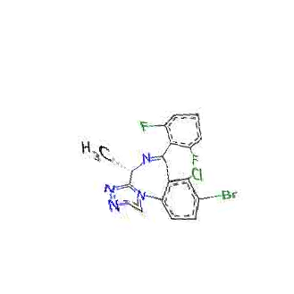 C[C@@H]1N=C(c2c(F)cccc2F)c2c(ccc(Br)c2Cl)-n2cnnc21